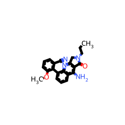 CCCN1Cc2nc3c(-c4c(C#N)cccc4OC)cccc3c(N)c2C1=O